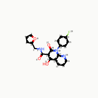 O=C(NCc1ccco1)c1c(O)c2cccnc2n(-c2ccc(F)cc2)c1=O